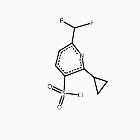 O=S(=O)(Cl)c1ccc(C(F)F)nc1C1CC1